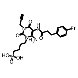 C#CCn1c(=O)c(NC(=O)CCc2ccc(CC)cc2)c(N)n(CCCCP(=O)(O)O)c1=O